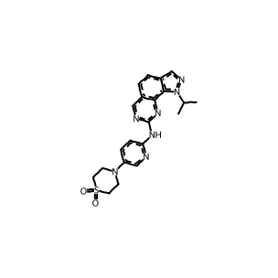 CC(C)n1ncc2ccc3cnc(Nc4ccc(N5CCS(=O)(=O)CC5)cn4)nc3c21